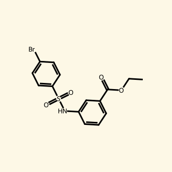 CCOC(=O)c1cccc(NS(=O)(=O)c2ccc(Br)cc2)c1